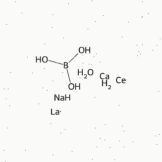 O.OB(O)O.[CaH2].[Ce].[La].[NaH]